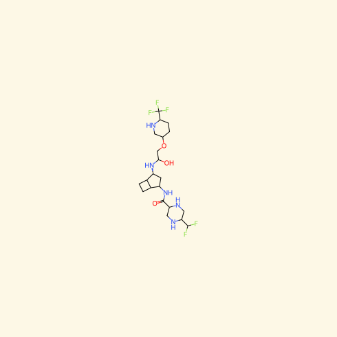 O=C(NC1C[C@H](NC(O)COC2CCC(C(F)(F)F)NC2)C2CCC12)C1CNC(C(F)F)CN1